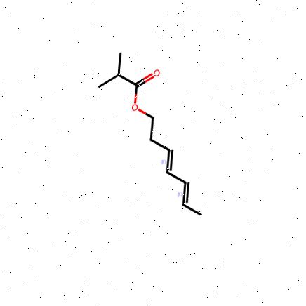 C/C=C/C=C/CCOC(=O)C(C)C